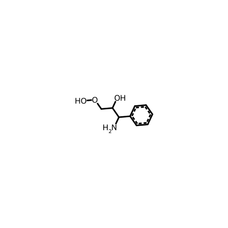 NC(c1ccccc1)C(O)COO